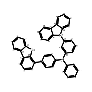 c1ccc(N(c2ccc(-c3cccc4c3oc3ccccc34)cc2)c2cccc(-n3c4ccccc4c4ccccc43)c2)cc1